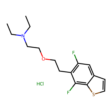 CCN(CC)CCOCCc1c(F)cc2ccsc2c1F.Cl